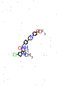 CCc1c(C(=O)NCc2ccc(C3CCN(c4ccc(OC(F)(F)F)cc4)CC3)cc2)c2cc(Cl)ccc2n1C